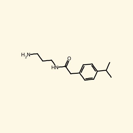 CC(C)c1ccc(CC(=O)NCCCN)cc1